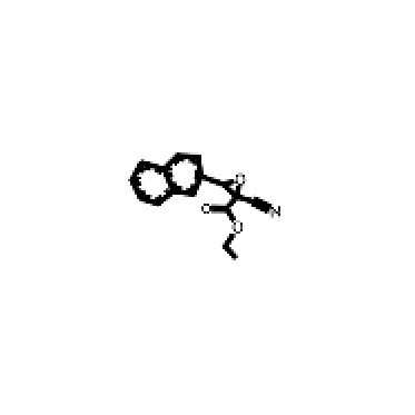 CCOC(=O)C1(C#N)OC1c1ccc2ccccc2c1